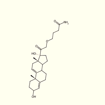 C[C@]12CCC(O)C=C1CCC1C2=CC[C@@]2(C)C1CC[C@]2(O)C(=O)COCCCC(N)=O